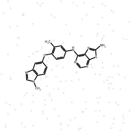 Cc1cc(Nc2ncnc3sc(N)nc23)ccc1Oc1ccc2c(c1)ncn2C